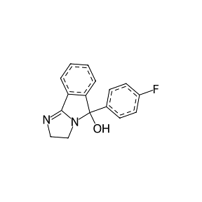 OC1(c2ccc(F)cc2)c2ccccc2C2=NCCN21